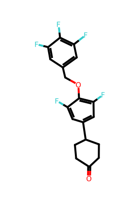 O=C1CCC(c2cc(F)c(OCc3cc(F)c(F)c(F)c3)c(F)c2)CC1